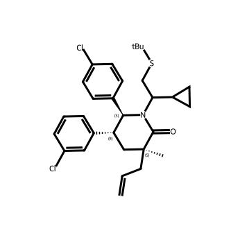 C=CC[C@@]1(C)C[C@H](c2cccc(Cl)c2)[C@@H](c2ccc(Cl)cc2)N(C(CSC(C)(C)C)C2CC2)C1=O